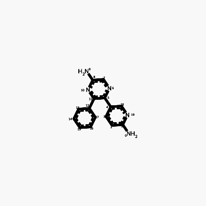 Nc1ccc(-c2ncc(N)nc2-c2ccccc2)cn1